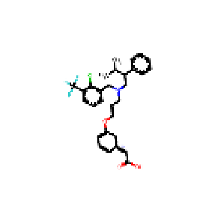 CC(C)C(CN(CCCOC1=CC=C/C(=C\C(=O)O)C1)Cc1cccc(C(F)(F)F)c1Cl)c1ccccc1